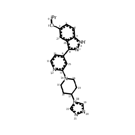 CC(C)Oc1ccc2[nH]nc(-c3ccnc(N4CCC(n5cnnc5)CC4)c3)c2c1